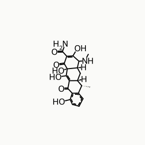 CNC1C(O)=C(C(N)=O)C(=O)[C@@]2(O)C(O)=C3C(=O)c4c(O)cccc4[C@@H](C)[C@H]3C[C@@H]12